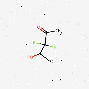 CCC(O)C(F)(F)C(=O)C(F)(F)F